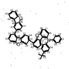 CC(C)(C)c1ccc(N(c2ccccc2)c2cccc3oc4c(-c5ccc6c(c5)oc5cccc(-c7ccc8oc9ccccc9c8c7)c56)cccc4c23)cc1